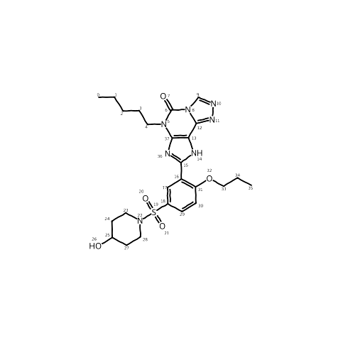 CCCCCn1c(=O)n2cnnc2c2[nH]c(-c3cc(S(=O)(=O)N4CCC(O)CC4)ccc3OCCC)nc21